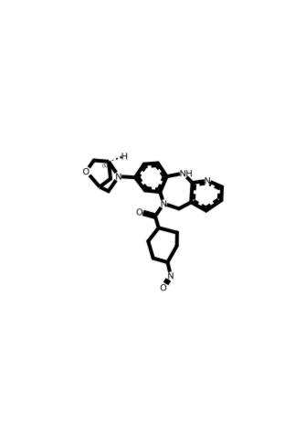 O=NC1CCC(C(=O)N2Cc3cccnc3Nc3ccc(N4CC5C[C@H]4CO5)cc32)CC1